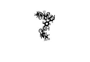 Cc1cc(-c2ccncc2N2CCC(N(C)C(=O)OC(C)(C)C)C2=O)ccc1CNC(=O)c1cn(C(C)(C)C)nn1